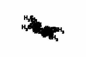 Cc1ccc2c(c1)c1cc(C)cc3c1n2-c1cccc2c1B3c1cccc3c4cc5c6cccc7c6n(c5cc4n-2c13)-c1cccc2c1B7c1cc(C)cc3c4cc(C)ccc4n-2c13